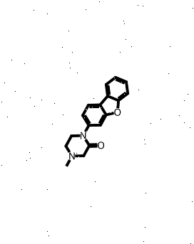 CN1CCN(c2ccc3c(c2)oc2ccccc23)C(=O)C1